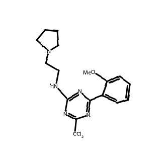 COc1ccccc1-c1nc(NCCN2CCCC2)nc(C(Cl)(Cl)Cl)n1